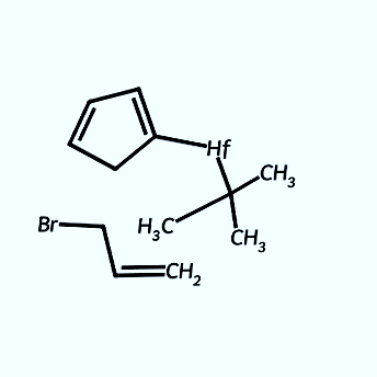 C=CCBr.C[C](C)(C)[Hf][C]1=CC=CC1